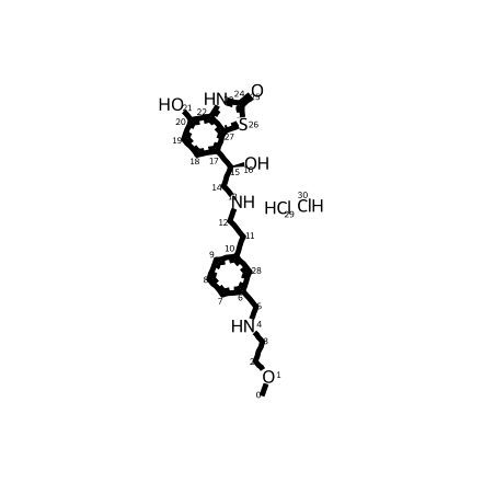 COCCNCc1cccc(CCNC[C@H](O)c2ccc(O)c3[nH]c(=O)sc23)c1.Cl.Cl